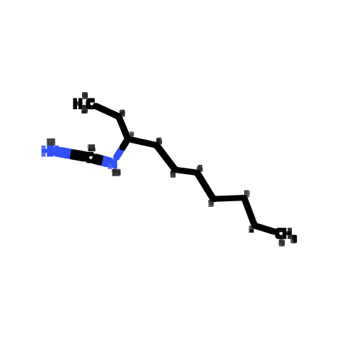 CCCCCCCC(CC)N=C=N